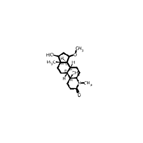 COC1CC(O)[C@@]2(C)CC[C@@H]3[C@@H](CCC4N(C)C(=O)CC[C@@]43C)[C@H]12